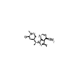 CC(c1cnn(C)c(=O)c1)n1nc(I)c2c(N)ncnc21